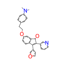 CN(C)c1ccc(CCOc2ccc3c(c2)C(=O)C(c2cccnc2)=C3c2ccoc2)cc1